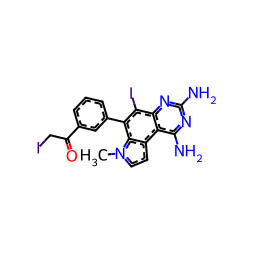 Cn1ccc2c3c(N)nc(N)nc3c(I)c(-c3cccc(C(=O)CI)c3)c21